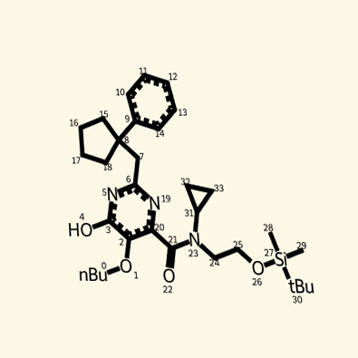 CCCCOc1c(O)nc(CC2(c3ccccc3)CCCC2)nc1C(=O)N(CCO[Si](C)(C)C(C)(C)C)C1CC1